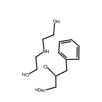 CCCCCCCCCCCC(Cl)Cc1ccccc1.OCCNCCO